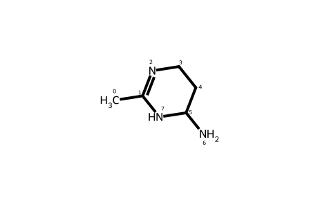 CC1=NCCC(N)N1